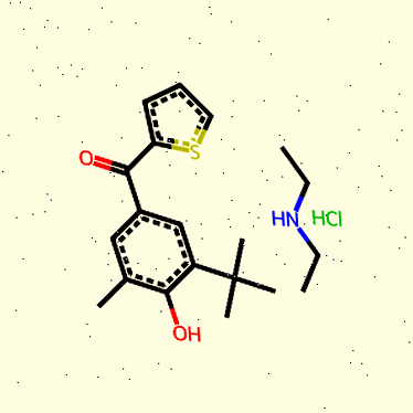 CCNCC.Cc1cc(C(=O)c2cccs2)cc(C(C)(C)C)c1O.Cl